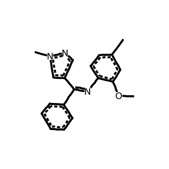 COc1cc(C)ccc1N=C(c1ccccc1)c1cnn(C)c1